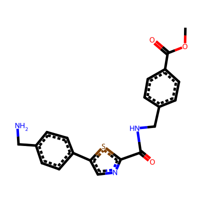 COC(=O)c1ccc(CNC(=O)c2ncc(-c3ccc(CN)cc3)s2)cc1